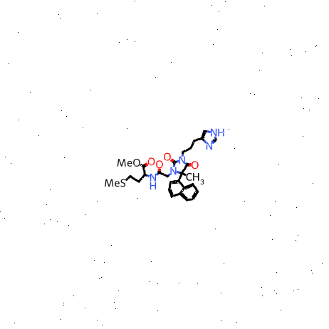 COC(=O)C(CCSC)NC(=O)CN1C(=O)N(CCCc2c[nH]cn2)C(=O)C1(C)c1cccc2ccccc12